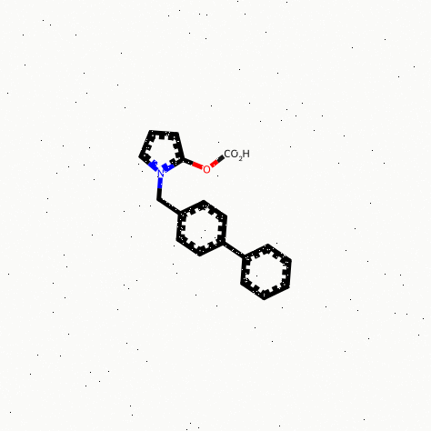 O=C(O)Oc1cccn1Cc1ccc(-c2ccccc2)cc1